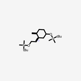 C=C1CCC(O[Si](C)(C)C(C)(C)C)C/C1=C/CO[Si](C)(C)C(C)(C)C